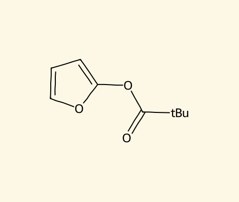 CC(C)(C)C(=O)Oc1ccco1